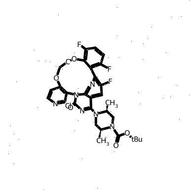 C[C@H]1CN(c2nc(=O)n3c4nc(c(F)cc24)-c2c(F)ccc(F)c2OCCOc2ccnc(Cl)c2-3)[C@@H](C)CN1C(=O)OC(C)(C)C